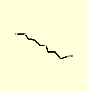 CCOCCCOCCCNC